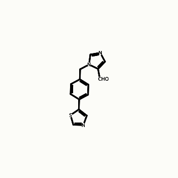 O=Cc1cncn1Cc1ccc(-c2cncs2)cc1